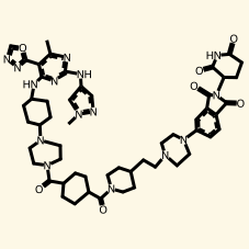 Cc1nc(Nc2cnn(C)c2)nc(NC2CCC(N3CCN(C(=O)C4CCC(C(=O)N5CCC(CCN6CCN(c7ccc8c(c7)C(=O)N(C7CCC(=O)NC7=O)C8=O)CC6)CC5)CC4)CC3)CC2)c1-c1nnco1